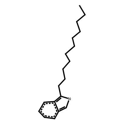 CCCCCCCCCCCC1=c2ccccc2=C[N]1